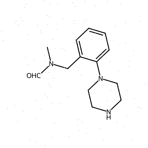 CN(C=O)Cc1ccccc1N1CCNCC1